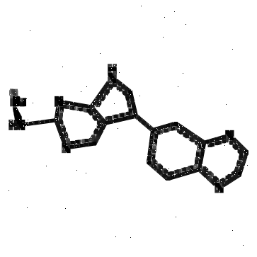 CC[C@H](C)Nc1ncc2c(-c3ccc4nccnc4c3)c[nH]c2n1